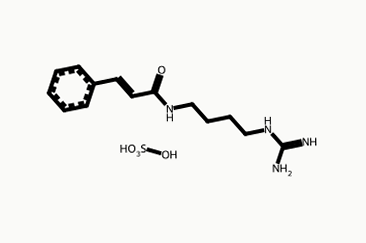 N=C(N)NCCCCNC(=O)C=Cc1ccccc1.O=S(=O)(O)O